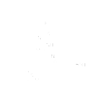 O=C(Nc1ncc(F)s1)/C(=N/O[C@H]1CC[C@H](O)CC1)c1ccc(S(=O)(=O)C2CC2)cc1